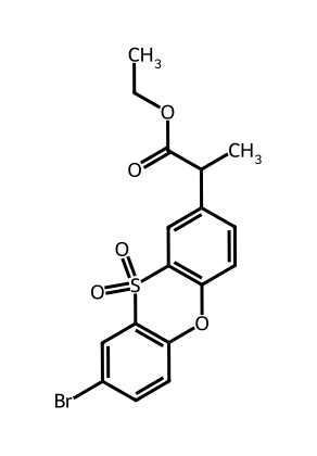 CCOC(=O)C(C)c1ccc2c(c1)S(=O)(=O)c1cc(Br)ccc1O2